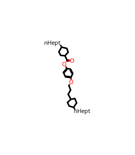 CCCCCCCC1CCC(CCCOc2ccc(OC(=O)C3CCC(CCCCCCC)CC3)cc2)CC1